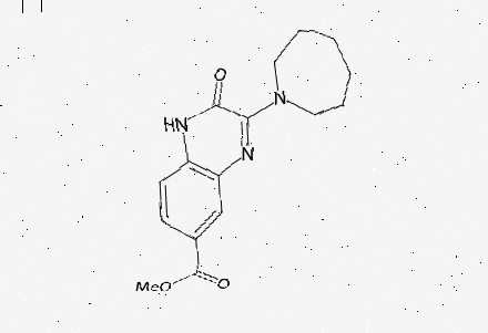 COC(=O)c1ccc2[nH]c(=O)c(N3CCCCCC3)nc2c1